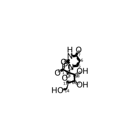 CC(C)C(=O)[C@@]1(n2ccc(=O)[nH]c2=O)O[C@H](CO)[C@@H](O)[C@H]1O